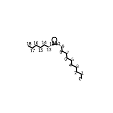 CCCCCCCCCC[C@H]1O[C@H]1CCCCCC